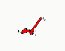 COCCOCCOCCOCCOCCOCCOCCOCCOCCOCCOCCOCCC(=O)NCC(=O)NCN1C(=O)CCN(c2cc(C#CCNC3(C)CCN(C4CCN(c5nc(C(COC)OC6CC6)c6cc(-c7cn(C)c(=O)c8[nH]ccc78)ccc6n5)CC4)CC3)ccc2OC)C1=O